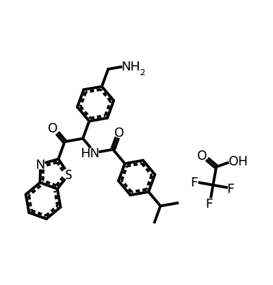 CC(C)c1ccc(C(=O)NC(C(=O)c2nc3ccccc3s2)c2ccc(CN)cc2)cc1.O=C(O)C(F)(F)F